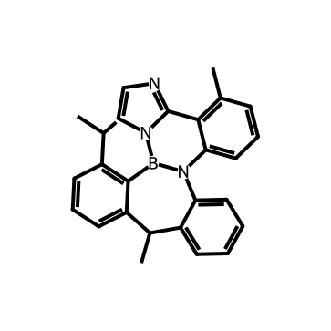 Cc1cccc2c1-c1nccn1B1c3c(C(C)C)cccc3C(C)c3ccccc3N12